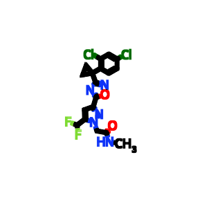 CNC(=O)Cn1nc(-c2nc(C3(c4ccc(Cl)cc4Cl)CC3)no2)cc1C(F)F